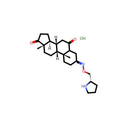 C[C@]12CCC(=NOC[C@@H]3CCCN3)CC1C(=O)C[C@@H]1[C@H]2CC[C@]2(C)C(=O)CC[C@@H]12.Cl